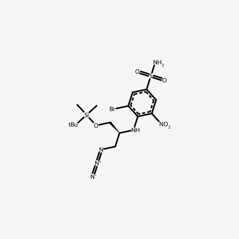 CC(C)(C)[Si](C)(C)OC[C@H](CN=[N+]=[N-])Nc1c(Br)cc(S(N)(=O)=O)cc1[N+](=O)[O-]